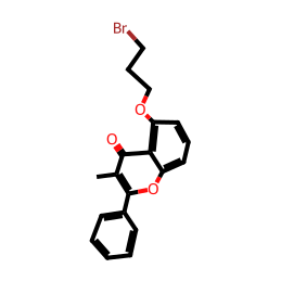 Cc1c(-c2ccccc2)oc2cccc(OCCCBr)c2c1=O